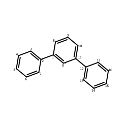 [c]1c(-c2ccccc2)cccc1-c1ccccc1